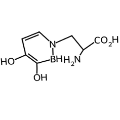 NC(CN1BC(O)=C(O)C=C1)C(=O)O